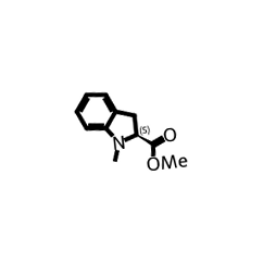 COC(=O)[C@@H]1Cc2ccccc2N1C